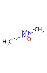 C=CCn1cnn(CCCCC)c1=O